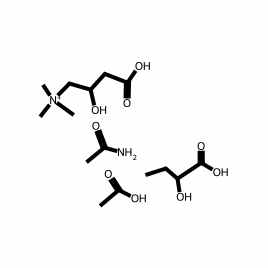 CC(=O)O.CC(N)=O.CCC(O)C(=O)O.C[N+](C)(C)CC(O)CC(=O)O